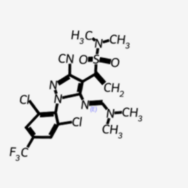 C=C(c1c(C#N)nn(-c2c(Cl)cc(C(F)(F)F)cc2Cl)c1/N=C/N(C)C)S(=O)(=O)N(C)C